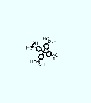 CB(O)c1ccc(C(c2ccc(B(O)O)cc2)(c2ccc(B(O)O)cc2)c2ccc(B(O)O)cc2)cc1